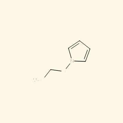 COCOn1cccc1